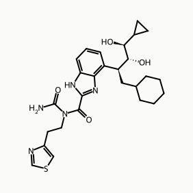 NC(=O)N(CCc1cscn1)C(=O)c1nc2c([C@H](CC3CCCCC3)[C@@H](O)[C@@H](O)C3CC3)cccc2[nH]1